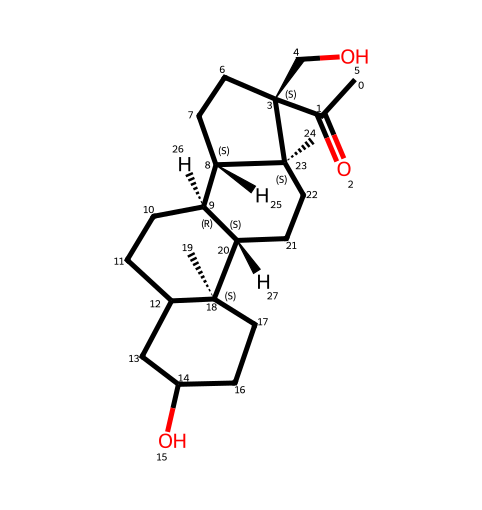 CC(=O)[C@@]1(CO)CC[C@H]2[C@@H]3CCC4CC(O)CC[C@]4(C)[C@H]3CC[C@@]21C